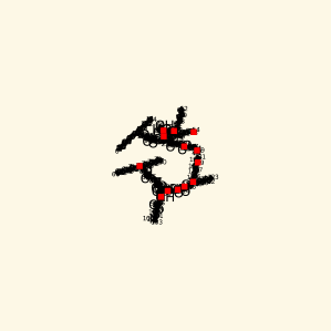 CCCCCCCCC(CCCCCC)COC(=O)CC(=O)OCC(C)(C)C(C(=O)NCCC(=O)OCCN(C)C)C(CCC(=O)O)(CC(CCCCCC)CCCCCCCC)C(=O)O.CCCCCCCCC(CCCCCC)COC(=O)CCCC(=O)OC(C(=O)NCCC(=O)OCCN(C)C)C(C)(C)COC(=O)CC(=O)OCC(CCCCCC)CCCCCCCC